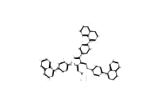 C=C/C=c1\c(=C/Cc2ccc(-c3cccc4ccccc34)cc2)c(-c2ccc(-c3cccc4ccccc34)cc2)cn1-c1ccc(-c2cccc3ccccc23)cc1